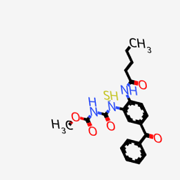 CCCCC(=O)Nc1ccc(C(=O)c2ccccc2)cc1N(S)C(=O)NC(=O)OC